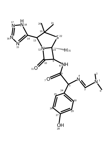 CN(C)C=NC(C(=O)NC1C(=O)N2C(c3nnn[nH]3)C(C)(C)S[C@@H]12)c1ccc(O)cc1